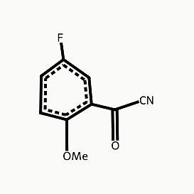 COc1ccc(F)cc1C(=O)C#N